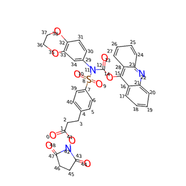 O=C(CCc1ccc(S(=O)(=O)N(C(=O)Oc2c3ccccc3nc3ccccc23)c2ccc3c(c2)OCCO3)cc1)ON1C(=O)CCC1=O